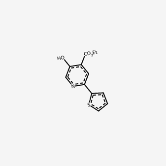 CCOC(=O)c1cc(-c2cccs2)ncc1O